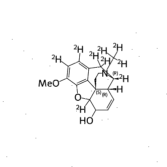 [2H]c1c([2H])c2c3c(c1OC)OC1([2H])C(O)C=C[C@@H]4[C@@]31CCN(C([2H])([2H])[2H])[C@]4([2H])C2([2H])[2H]